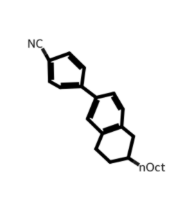 CCCCCCCCC1CCc2cc(-c3ccc(C#N)cc3)ccc2C1